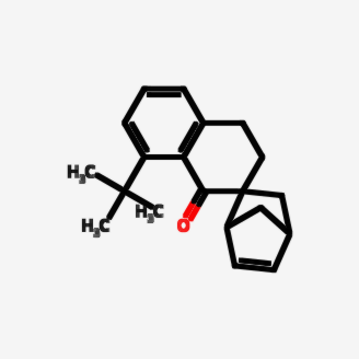 CC(C)(C)c1cccc2c1C(=O)C1(CC2)CC2C=CC1C2